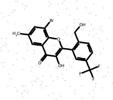 Cc1cc(Br)c2oc(-c3cc(C(F)(F)F)ccc3CO)c(O)c(=O)c2c1